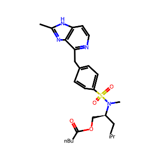 CCCCC(=O)OC[C@H](CC(C)C)N(C)S(=O)(=O)c1ccc(Cc2nccc3[nH]c(C)nc23)cc1